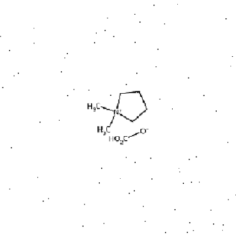 C[N+]1(C)CCCC1.O=C([O-])O